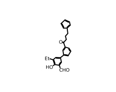 CCc1cc(-c2cccc(C(=O)CCCc3ccccc3)c2)cc(C=O)c1O